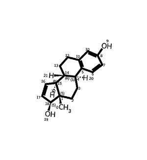 C[C@]12CC[C@@H]3c4ccc(O)cc4CC[C@H]3[C@@H]1C=C[C@@H]2O